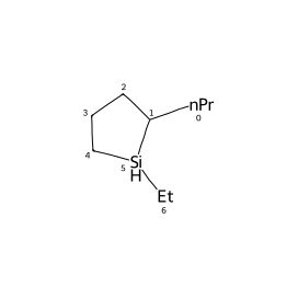 CCCC1CCC[SiH]1CC